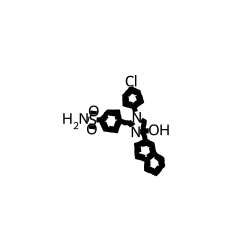 NS(=O)(=O)c1ccc(C2=NC(O)(c3ccc4ccccc4c3)CN2c2ccc(Cl)cc2)cc1